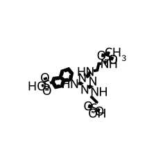 CS(=O)(=O)NCCNc1nc(NCCS(=O)(=O)O)nc(Nc2cccc3cc(S(=O)(=O)O)ccc23)n1